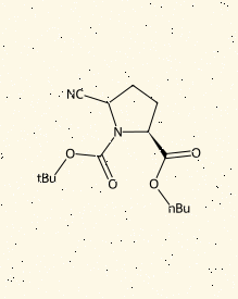 CCCCOC(=O)[C@@H]1CCC(C#N)N1C(=O)OC(C)(C)C